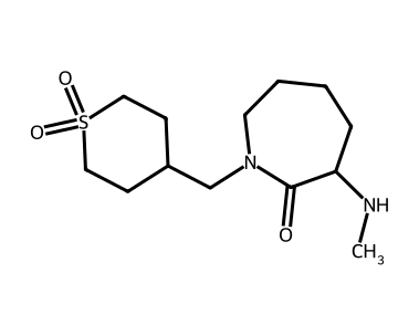 CNC1CCCCN(CC2CCS(=O)(=O)CC2)C1=O